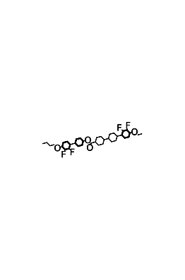 CCCCOc1ccc(-c2ccc(OC(=O)C3CCC(C4CCC(c5ccc(OCC)c(F)c5F)CC4)CC3)cc2)c(F)c1F